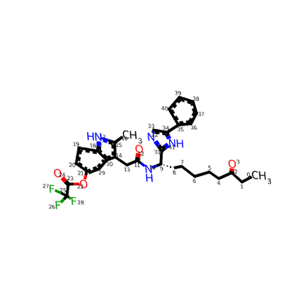 CCC(=O)CCCCC[C@H](NC(=O)Cc1c(C)[nH]c2ccc(OC(=O)C(F)(F)F)cc12)c1ncc(-c2ccccc2)[nH]1